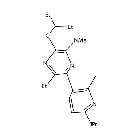 CCc1nc(OC(CC)CC)c(NC)nc1-c1ccc(C(C)C)nc1C